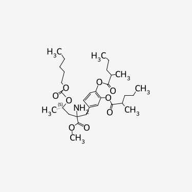 CCCCCOC(=O)O[C@@H](C)CC(N)(Cc1ccc(OC(=O)C(C)CCC)c(OC(=O)C(C)CCC)c1)C(=O)OC